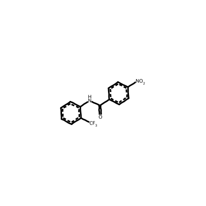 O=C(Nc1ccccc1C(F)(F)F)c1ccc([N+](=O)[O-])cc1